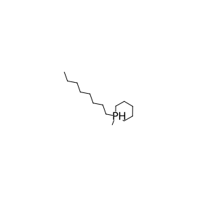 CCCCCCCC[PH]1(C)CCCCC1